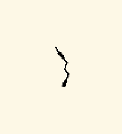 C#CCC[CH]C#C[CH2]